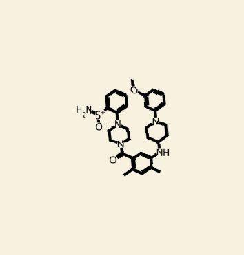 COc1cccc(N2CCC(Nc3cc(C(=O)N4CCN(c5ccccc5[S+](N)[O-])CC4)c(C)cc3C)CC2)c1